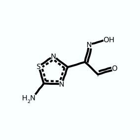 Nc1nc(C([C]=O)=NO)ns1